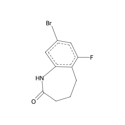 O=C1CCCc2c(F)cc(Br)cc2N1